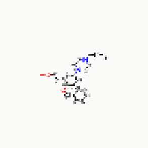 CCN1CCN(c2cc(CCO)c(OC)c(-c3ccccc3)c2)CC1